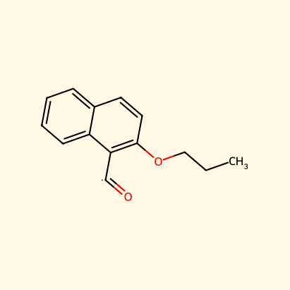 CCCOc1ccc2ccccc2c1[C]=O